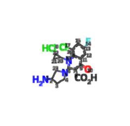 Cl.N[C@@H]1CCN(c2c(C(=O)O)c(=O)c3cc(F)cc(Cl)c3n2C2CC2)C1